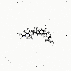 C=C/C(=C(F)\C(Cl)=C(\F)CCl)C(NC(=O)c1cc2cc(C(=O)NC3(C(N)=S)CC3)c(Cl)cc2n1CC)C(F)(F)F